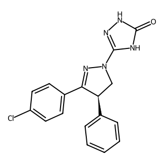 O=c1[nH]nc(N2C[C@@H](c3ccccc3)C(c3ccc(Cl)cc3)=N2)[nH]1